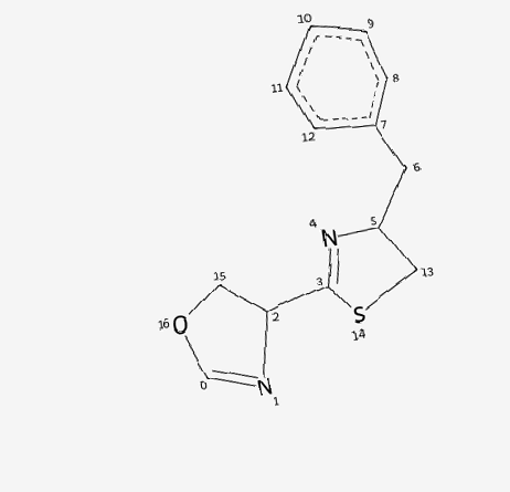 C1=NC(C2=NC(Cc3ccccc3)CS2)CO1